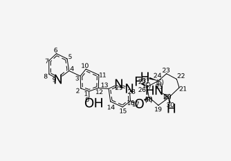 Oc1cc(-c2ccccn2)ccc1-c1ccc(O[C@@H]2C[C@H]3CCC[C@H](N3)[C@@H]2F)nn1